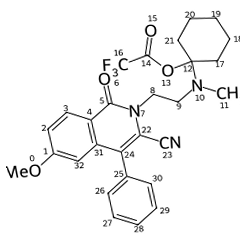 COc1ccc2c(=O)n(CCN(C)C3(OC(=O)C(F)(F)F)CCCCC3)c(C#N)c(-c3ccccc3)c2c1